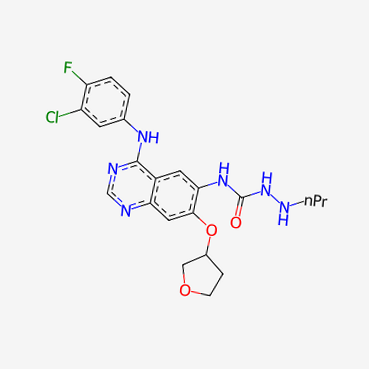 CCCNNC(=O)Nc1cc2c(Nc3ccc(F)c(Cl)c3)ncnc2cc1OC1CCOC1